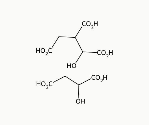 O=C(O)CC(C(=O)O)C(O)C(=O)O.O=C(O)CC(O)C(=O)O